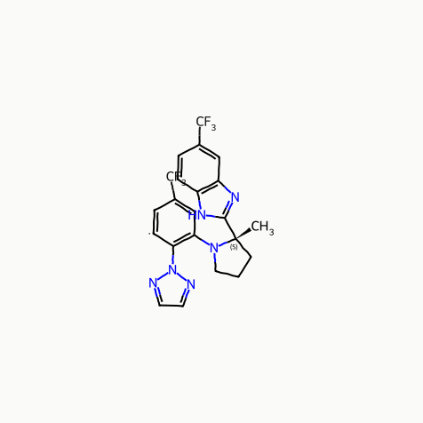 C[C@@]1(c2nc3cc(C(F)(F)F)ccc3[nH]2)CCCN1c1cc(C(F)(F)F)c[c]c1-n1nccn1